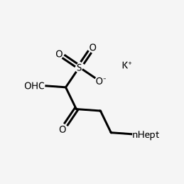 CCCCCCCCCC(=O)C(C=O)S(=O)(=O)[O-].[K+]